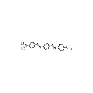 CCN(CC)c1ccc(/N=N/c2ccc(/N=N/c3ccc(C(F)(F)F)cc3)cc2)cc1